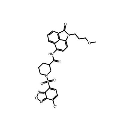 COCCCN1C(=O)c2cccc3c(NC(=O)C4CCCN(S(=O)(=O)c5ccc(Cl)c6nonc56)C4)ccc1c23